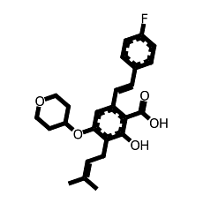 CC(C)=CCc1c(OC2CCOCC2)cc(C=Cc2ccc(F)cc2)c(C(=O)O)c1O